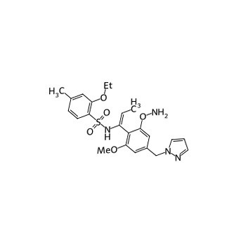 C/C=C(/NS(=O)(=O)c1ccc(C)cc1OCC)c1c(OC)cc(Cn2cccn2)cc1ON